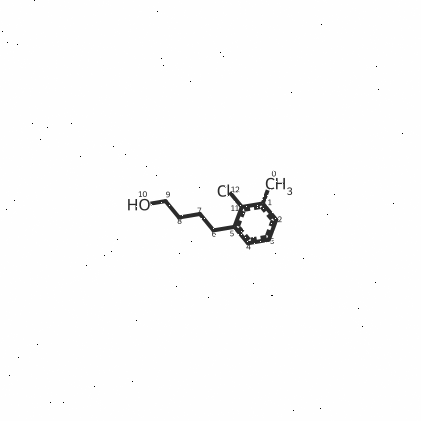 Cc1cccc(CCCCO)c1Cl